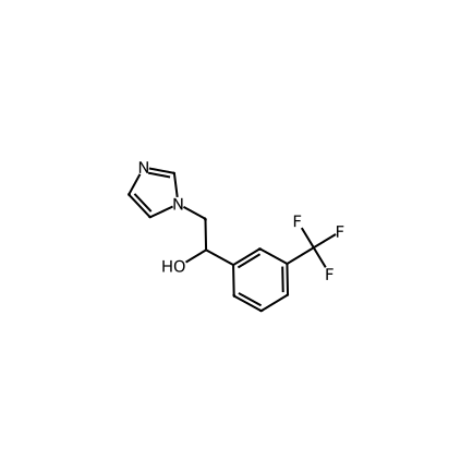 OC(Cn1ccnc1)c1cccc(C(F)(F)F)c1